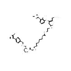 CNC(=O)c1nnc(NC(=O)CNC(=O)CCCCCCC(=O)N[C@H](C(=O)N2C[C@H](O)C[C@H]2C(=O)NCc2ccc(-c3scnc3C)cc2)C(C)(C)C)cc1Nc1cccc(-c2ncn(C)n2)c1OC